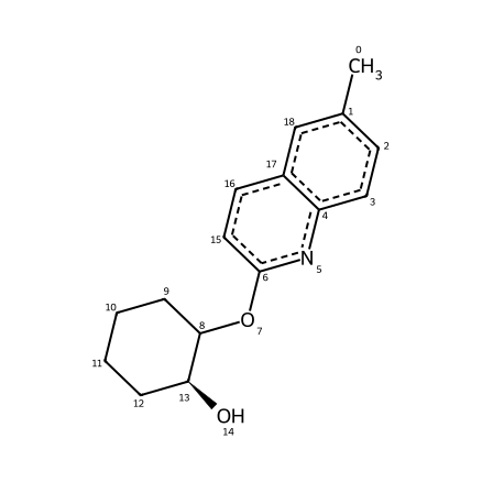 Cc1ccc2nc(OC3CCCC[C@@H]3O)ccc2c1